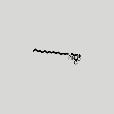 CCCCCCCCCCCCCCCCSCC(C[N])NC(=O)OC